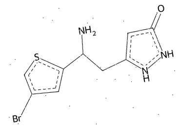 NC(Cc1cc(=O)[nH][nH]1)c1cc(Br)cs1